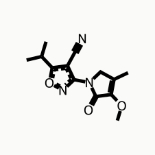 COC1=C(C)CN(c2noc(C(C)C)c2C#N)C1=O